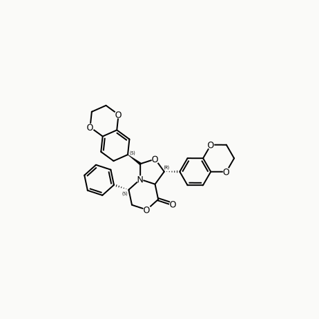 O=C1OC[C@H](c2ccccc2)N2C([C@@H]3C=C4OCCOC4=CC3)O[C@H](c3ccc4c(c3)OCCO4)C12